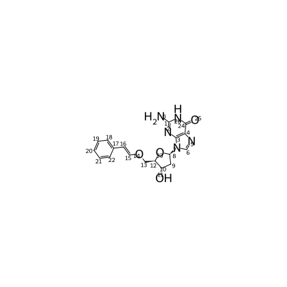 Nc1nc2c(ncn2[C@H]2C[C@H](O)[C@@H](COC=Cc3ccccc3)O2)c(=O)[nH]1